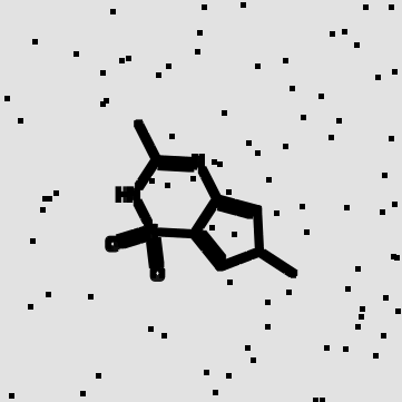 CC1=NC2=CC(C)C=C2S(=O)(=O)N1